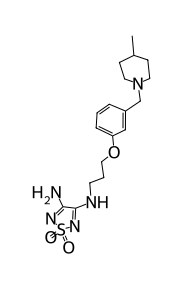 CC1CCN(Cc2cccc(OCCCNC3=NS(=O)(=O)N=C3N)c2)CC1